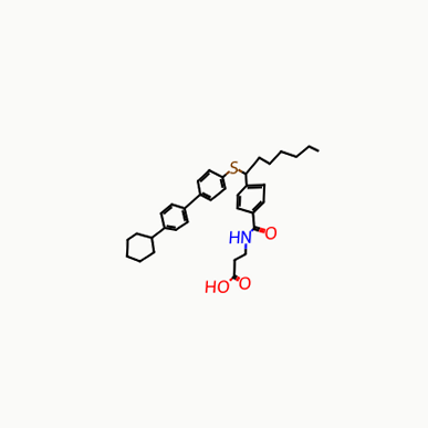 CCCCCCC(Sc1ccc(-c2ccc(C3CCCCC3)cc2)cc1)c1ccc(C(=O)NCCC(=O)O)cc1